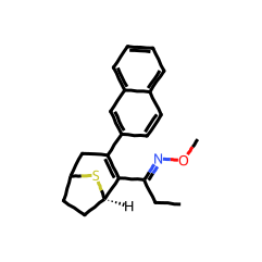 CCC(=NOC)C1=C(c2ccc3ccccc3c2)CC2CC[C@H]1S2